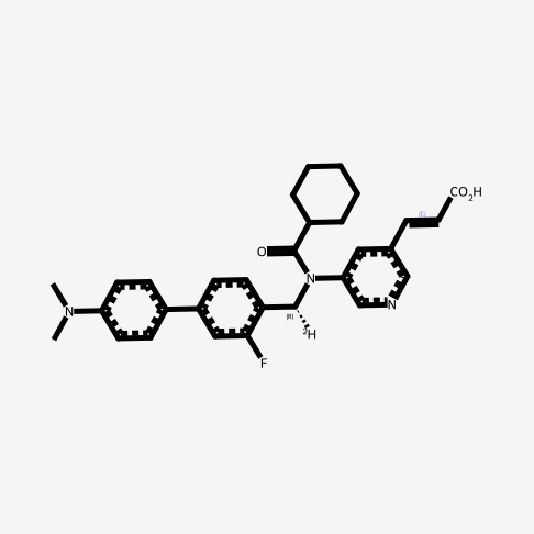 [2H][C@H](c1ccc(-c2ccc(N(C)C)cc2)cc1F)N(C(=O)C1CCCCC1)c1cncc(/C=C/C(=O)O)c1